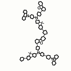 CC1(C)c2cc(-c3ccccc3)ccc2-c2ccc(N(c3ccc(-c4ccc(-n5c6ccccc6c6ccccc65)cc4)cc3)c3ccc(-c4cccc5c4oc4ccc(-c6cccc(-c7ccc8c(c7)C(C)(C)c7cc(N(c9ccc(-c%10cccc%11c%10oc%10ccccc%10%11)cc9)c9ccc(-n%10c%11ccccc%11c%11ccccc%11%10)cc9)ccc7-8)c6)cc45)cc3)cc21